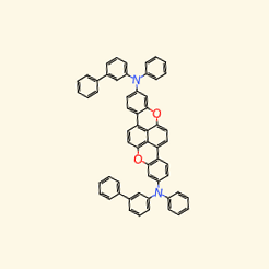 c1ccc(-c2cccc(N(c3ccccc3)c3ccc4c(c3)Oc3ccc5c6c(ccc-4c36)Oc3cc(N(c4ccccc4)c4cccc(-c6ccccc6)c4)ccc3-5)c2)cc1